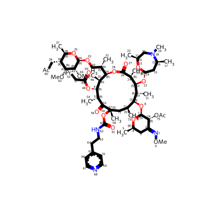 CON=C1C[C@@H](C)O[C@@H](O[C@@H]2[C@@H](C)[C@H](O[C@H]3C[C@H](C)N(C)C[C@H](C)O3)[C@@H](C)C(=O)O[C@H]([C@@H](C)CO[C@@H]3O[C@H](C)[C@@H](CC(C)=O)[C@@H](OC)[C@H]3OC)[C@H](C)[C@@H](OC(=O)CC(C)C)[C@@H](C)C(=O)[C@@](C)(OC(=O)NCCc3ccncc3)C[C@@H]2C)[C@@H]1OC(C)=O